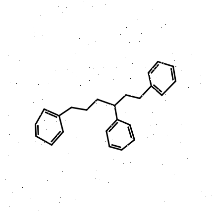 [c]1ccc(CCC(CCCc2ccccc2)c2ccccc2)cc1